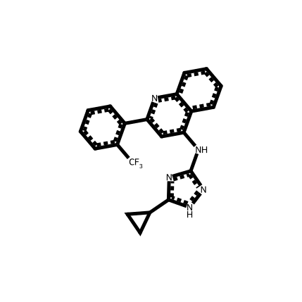 FC(F)(F)c1ccccc1-c1cc(Nc2n[nH]c(C3CC3)n2)c2ccccc2n1